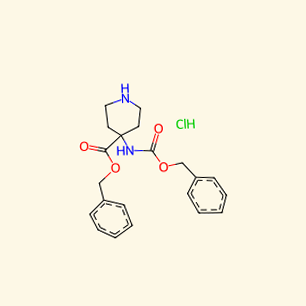 Cl.O=C(NC1(C(=O)OCc2ccccc2)CCNCC1)OCc1ccccc1